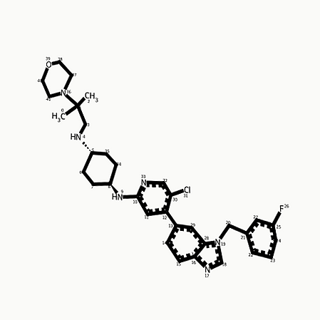 CC(C)(CN[C@H]1CC[C@H](Nc2cc(-c3ccc4ncn(Cc5cccc(F)c5)c4c3)c(Cl)cn2)CC1)N1CCOCC1